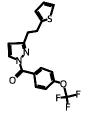 O=C(c1ccc(OC(F)(F)F)cc1)n1ccc(CCc2cccs2)n1